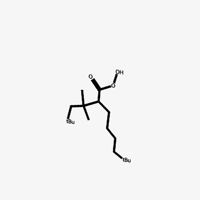 CC(C)(C)CCCCC(C(=O)OO)C(C)(C)CC(C)(C)C